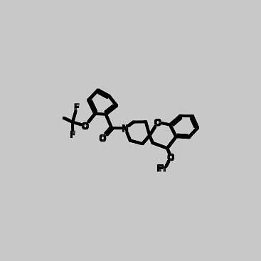 CC(C)OC1CC2(CCN(C(=O)c3ccccc3OC(C)(F)F)CC2)Oc2ccccc21